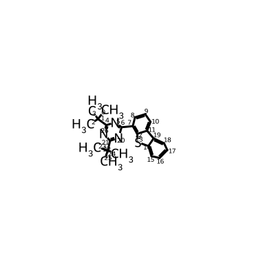 CC(C)(C)c1nc(-c2cccc3c2sc2ccccc23)nc(C(C)(C)C)n1